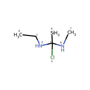 CCNC([SiH3])(Cl)NC